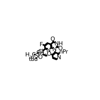 CCCc1nccc(OCCO[Si](C)(C)C(C)(C)C)c1-n1c(=O)[nH]c(=O)c2cc(F)c(Cl)nc21